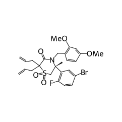 C=CCC1(CC=C)C(=O)N(Cc2ccc(OC)cc2OC)[C@](C)(c2cc(Br)ccc2F)CS1(=O)=O